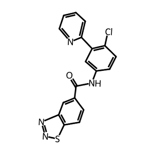 O=C(Nc1ccc(Cl)c(-c2ccccn2)c1)c1ccc2snnc2c1